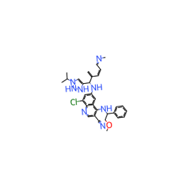 C=C(/C=C\C=N/C)[C@H](Nc1cc(Cl)c2ncc(C#N)c(NC(COC)c3ccccc3)c2c1)C1=CN(C(C)C)NN1